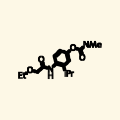 CCOCC(=O)Nc1ccc(OC(=O)NC)cc1C(C)C